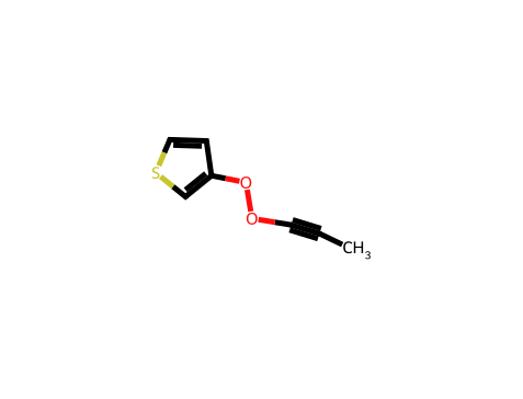 CC#COOc1ccsc1